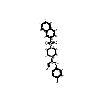 Cc1ccc(OC(C=O)N2CCN(S(=O)(=O)c3ccc4ccccc4c3)CC2)cc1